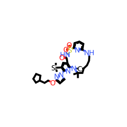 CC1(C)CC2CCCNc3cccc(n3)S(=O)(=O)NC(=O)c3cc([Si](C)(C)C)c(-n4ccc(OCCC5CCCC5)n4)nc3N1C2